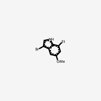 CCc1cc(OC)cc2c(Br)c[nH]c12